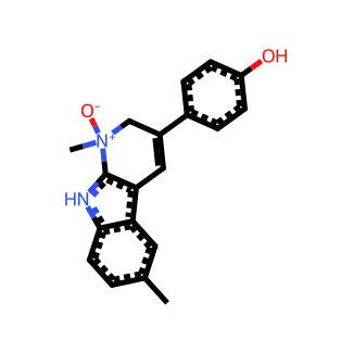 Cc1ccc2[nH]c3c(c2c1)C=C(c1ccc(O)cc1)C[N+]3(C)[O-]